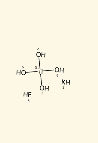 F.[KH].[OH][Ti]([OH])([OH])[OH]